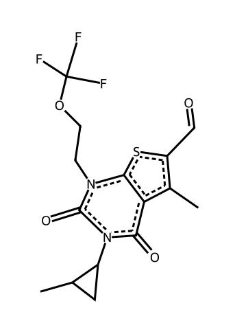 Cc1c(C=O)sc2c1c(=O)n(C1CC1C)c(=O)n2CCOC(F)(F)F